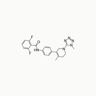 CC1=C(c2ccc(NC(=O)c3c(F)cccc3F)cc2)CN(c2nnnn2C)CC1